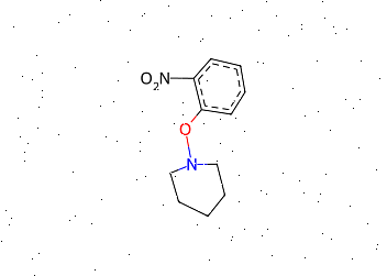 O=[N+]([O-])c1ccccc1ON1CCCCC1